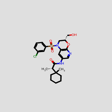 C[C@H](C(=O)Nc1cnc2c(c1)N(S(=O)(=O)c1cccc(Cl)c1)C[C@H](CO)O2)C1(C)CCCCC1